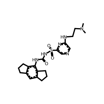 CN(C)CCNc1cncc(S(=O)(=O)NC(=O)Nc2c3c(cc4c2CCC4)CCC3)n1